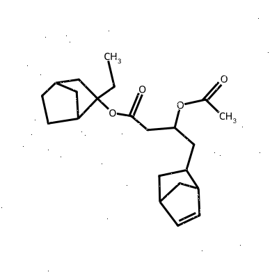 CCC1(OC(=O)CC(CC2CC3C=CC2C3)OC(C)=O)CC2CCC1C2